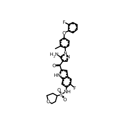 Cc1cc(Oc2ccccc2F)ccc1-n1ncc(C(=O)c2cc3cc(F)c(NS(=O)(=O)C4CCOCC4)cc3[nH]2)c1N